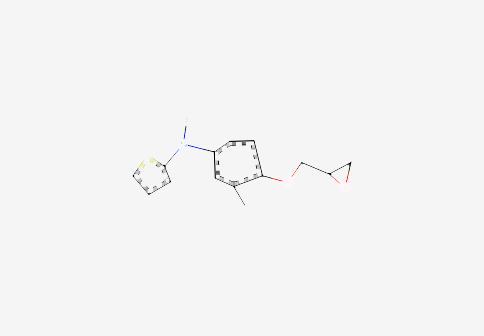 CCOC(=O)c1cc(N(C(C)=O)c2cccs2)ccc1OCC1CO1